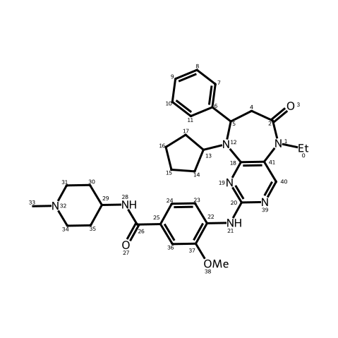 CCN1C(=O)CC(c2ccccc2)N(C2CCCC2)c2nc(Nc3ccc(C(=O)NC4CCN(C)CC4)cc3OC)ncc21